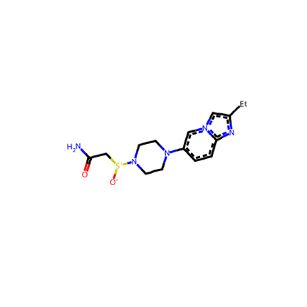 CCc1cn2cc(N3CCN([S+]([O-])CC(N)=O)CC3)ccc2n1